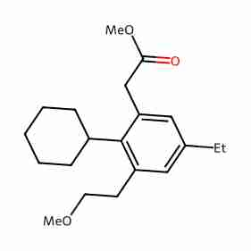 CCc1cc(CCOC)c(C2CCCCC2)c(CC(=O)OC)c1